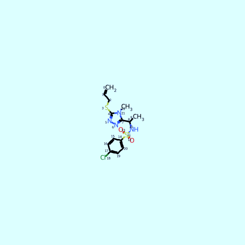 C=CCSc1nnc(C(C)NS(=O)(=O)c2ccc(Cl)cc2)n1C